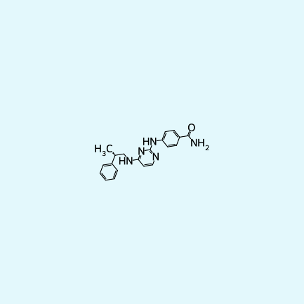 C[C@@H](CNc1ccnc(Nc2ccc(C(N)=O)cc2)n1)c1ccccc1